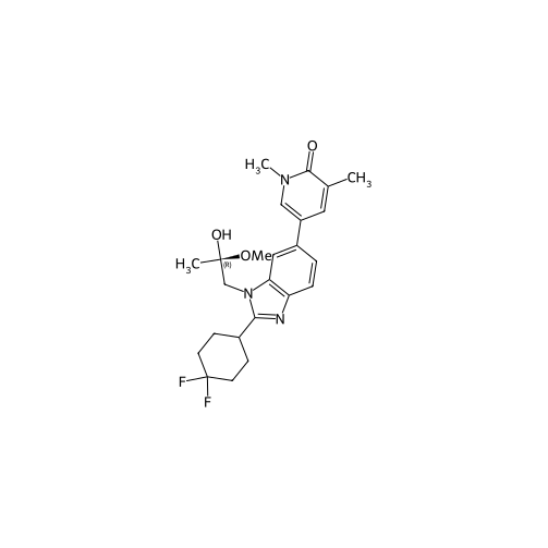 CO[C@@](C)(O)Cn1c(C2CCC(F)(F)CC2)nc2ccc(-c3cc(C)c(=O)n(C)c3)cc21